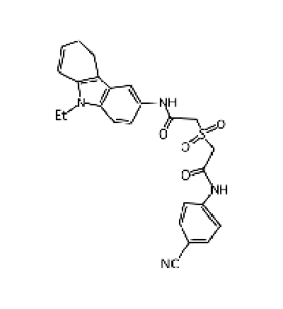 CCn1c2c(c3cc(NC(=O)CS(=O)(=O)CC(=O)Nc4ccc(C#N)cc4)ccc31)CCC=C2